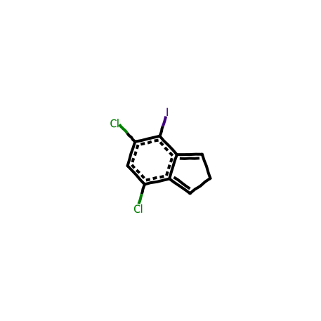 Clc1cc(Cl)c2c(c1I)=CCC=2